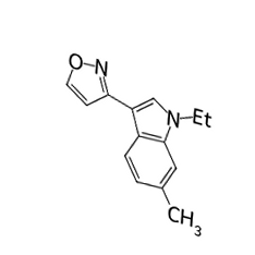 CCn1cc(-c2ccon2)c2ccc(C)cc21